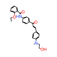 CCOc1ccccc1C(=O)Nc1ccc(C(=O)/C=C/c2ccc(N(C)CCO)cc2)cc1